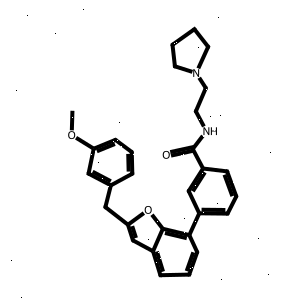 COc1cccc(Cc2cc3cccc(-c4cccc(C(=O)NCCN5CCCC5)c4)c3o2)c1